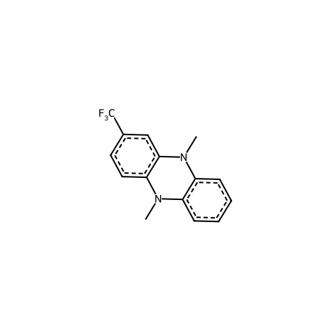 CN1c2ccccc2N(C)c2cc(C(F)(F)F)ccc21